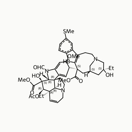 CC[C@]1(O)C[C@H]2CN(CCC3=C(Bc4ccc(SC)cc43)[C@@](C(=O)OC)(C3C=C4C(=CC3OC)N(C=O)[C@H]3[C@@](O)(C(=O)OC)[C@H](OC(C)=O)[C@]5(CC)C=CCN6CC[C@]43[C@@H]65)C2)C1